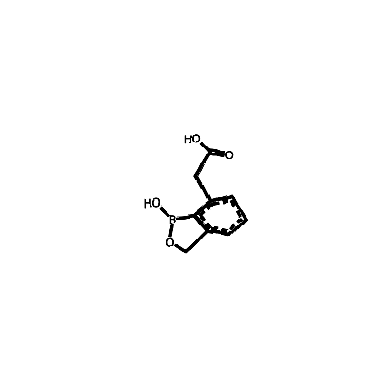 O=C(O)Cc1cccc2c1B(O)OC2